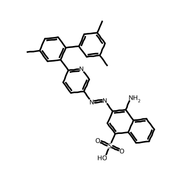 Cc1cc(C)cc(-c2ccc(C)cc2-c2ccc(N=Nc3cc(S(=O)(=O)O)c4ccccc4c3N)cn2)c1